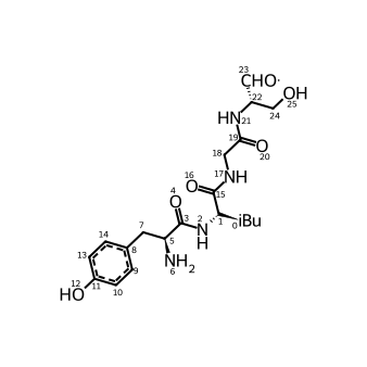 CC[C@H](C)[C@H](NC(=O)[C@@H](N)Cc1ccc(O)cc1)C(=O)NCC(=O)N[C@H]([C]=O)CO